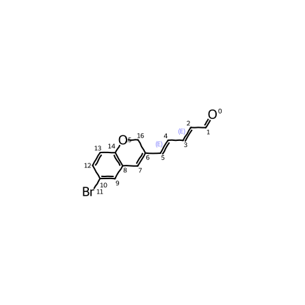 O=C/C=C/C=C/C1=Cc2cc(Br)ccc2OC1